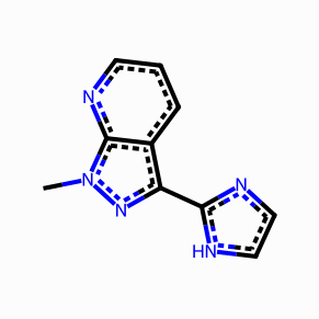 Cn1nc(-c2ncc[nH]2)c2cccnc21